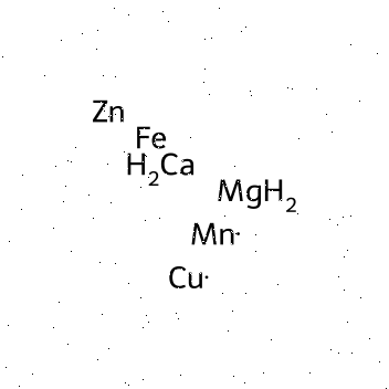 [CaH2].[Cu].[Fe].[MgH2].[Mn].[Zn]